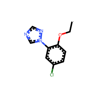 [CH2]COc1ccc(Cl)cc1-n1cncn1